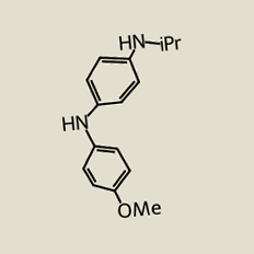 COc1ccc(Nc2ccc(NC(C)C)cc2)cc1